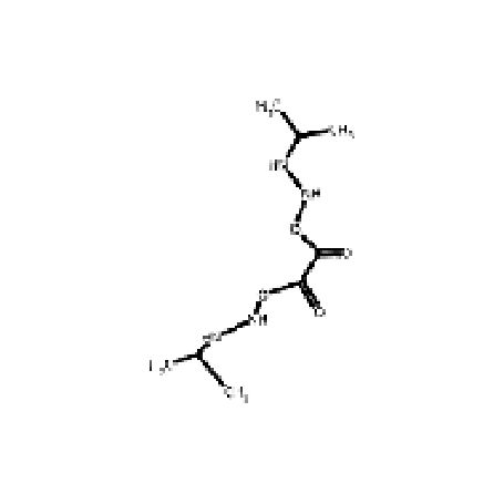 CC(C)NNOC(=O)C(=O)ONNC(C)C